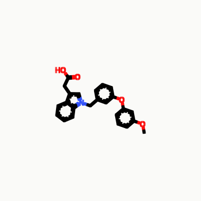 COc1cccc(Oc2cccc(Cn3cc(CC(=O)O)c4ccccc43)c2)c1